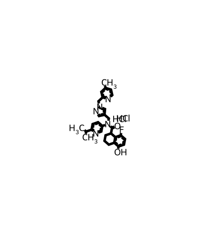 Cc1ccnc(Cn2cc(CN(C(=O)C3CCCc4c(O)ccc(F)c43)c3ccc(C(C)C)nc3)cn2)c1.Cl.Cl